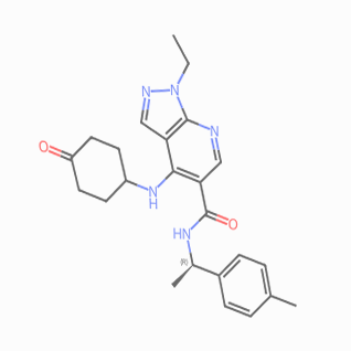 CCn1ncc2c(NC3CCC(=O)CC3)c(C(=O)N[C@H](C)c3ccc(C)cc3)cnc21